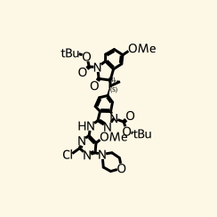 COc1ccc2c(c1)[C@]1(C[C@H]1c1ccc3c(Nc4nc(Cl)nc(N5CCOCC5)c4OC)nn(C(=O)OC(C)(C)C)c3c1)C(=O)N2C(=O)OC(C)(C)C